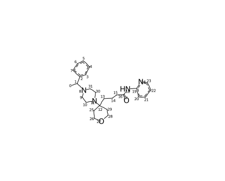 CC(c1ccccc1)N1CCN(C2(CCCC(=O)Nc3ccccn3)CCOCC2)CC1